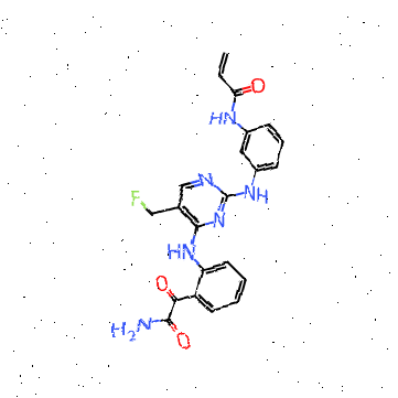 C=CC(=O)Nc1cccc(Nc2ncc(CF)c(Nc3ccccc3C(=O)C(N)=O)n2)c1